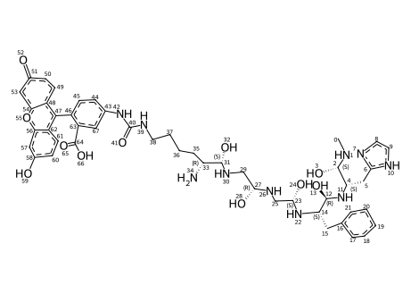 CN[C@@H](O)[C@H](Cc1ncc[nH]1)N[C@H](O)[C@H](Cc1ccccc1)N[C@@H](O)CN[C@H](O)CN[C@@H](O)[C@H](N)CCCCNC(=O)Nc1ccc(-c2c3ccc(=O)cc-3oc3cc(O)ccc23)c(C(=O)O)c1